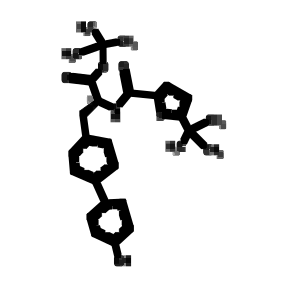 CC(C)(C)OC(=O)[C@H](Cc1ccc(-c2ccc(O)cc2)cc1)NC(=O)c1ccc(C(C)(C)C)s1